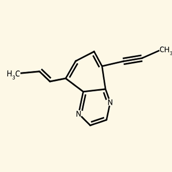 CC#Cc1ccc(C=CC)c2nccnc12